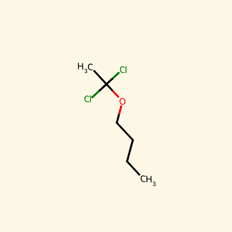 CCCCOC(C)(Cl)Cl